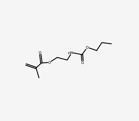 C=C(C)C(=O)OCCNC(=O)OCCC